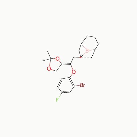 CC1(C)OC[C@H](C(CCB2C3CCCC2CCC3)Oc2ccc(F)cc2Br)O1